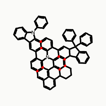 C1=CC2c3ccccc3C(c3ccccc3)(c3ccccc3)C2C=C1c1ccccc1N(c1ccccc1-c1ccc2c(c1)c1ccccc1n2-c1ccccc1)c1ccccc1-c1cccc2cccc(C3CCCCC3)c12